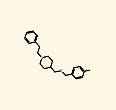 Fc1ccc(COCC2CCN(CCc3ccccc3)CC2)cc1